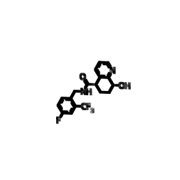 O=C(NCc1ccc(F)cc1C(F)(F)F)[C@@H]1CC[C@H](O)c2ncccc21